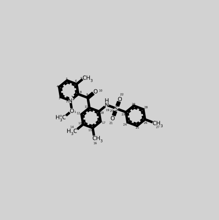 CO[n+]1cccc(C)c1C(=O)c1cc(C)c(C)cc1NS(=O)(=O)c1ccc(C)cc1